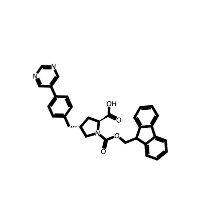 O=C(O)[C@@H]1C[C@@H](Cc2ccc(-c3cncnc3)cc2)CN1C(=O)OCC1c2ccccc2-c2ccccc21